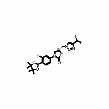 CC1(C)OB(c2ccc(N3C[C@H](Cn4cc(C(F)F)nn4)OC3=O)cc2F)OC1(C)C